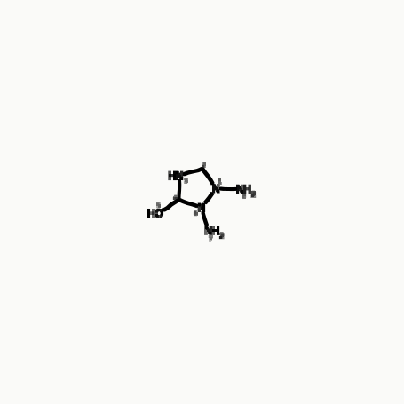 NN1CNC(O)N1N